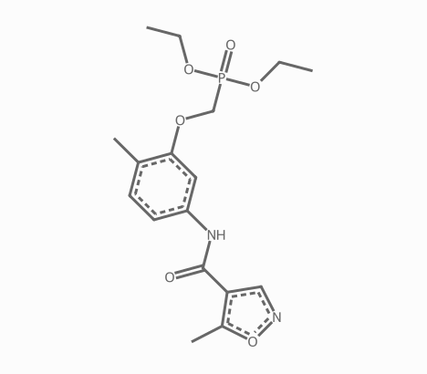 CCOP(=O)(COc1cc(NC(=O)c2cnoc2C)ccc1C)OCC